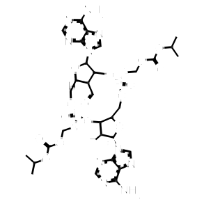 CC(C)OC(=O)OCSP1(=O)OC[C@H]2OC(n3cnc4c(N)ncnc43)C(OP(=O)(SCOC(=O)OC(C)C)OCC3O[C@@H](n4cnc5c(N)ncnc54)C(F)C3O1)C2C=O